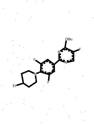 CCC1CCN(c2c(F)cc(-c3ncc(F)c(OCC(C)C)n3)cc2F)CC1